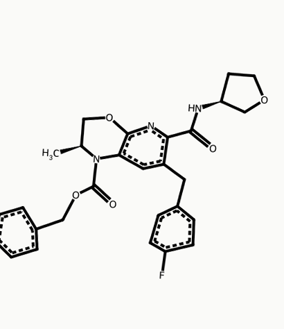 C[C@H]1COc2nc(C(=O)N[C@H]3CCOC3)c(Cc3ccc(F)cc3)cc2N1C(=O)OCc1ccccc1